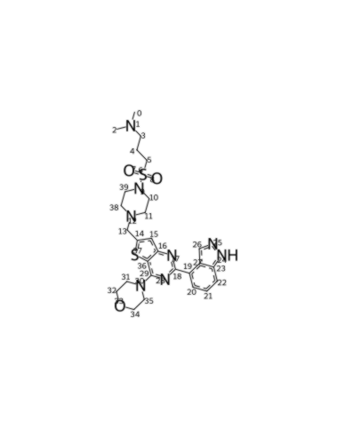 CN(C)CCCS(=O)(=O)N1CCN(Cc2cc3nc(-c4cccc5[nH]ncc45)nc(N4CCOCC4)c3s2)CC1